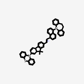 CC1(C)c2cc(/C=C/c3cccc4c(N5c6ccccc6CCc6ccccc65)cccc34)ccc2C2C=CC(N3c4ccccc4Sc4ccccc43)=CC21